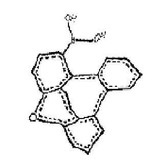 OB(O)c1ccc2oc3cccc4c5ccccc5c1c2c34